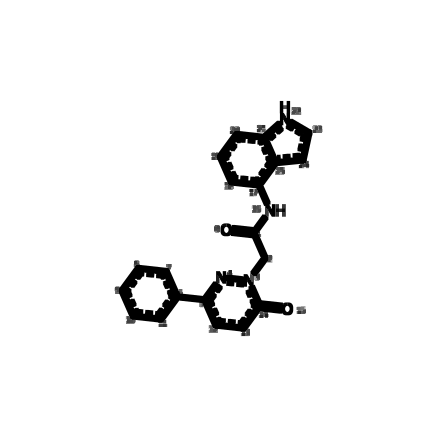 O=C(Cn1nc(-c2ccccc2)ccc1=O)Nc1cccc2[nH]ccc12